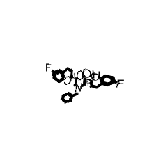 OC1([C@@H]2CCc3cc(F)ccc3O2)CN(Cc2ccccc2)CC([C@H]2CCc3cc(F)ccc3O2)O1